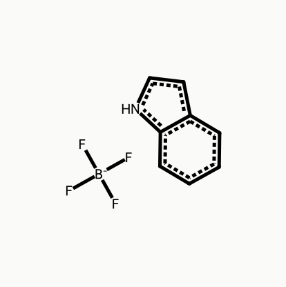 F[B-](F)(F)F.c1ccc2[nH]ccc2c1